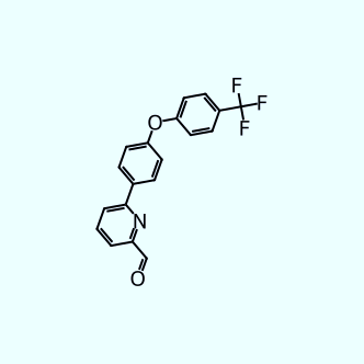 O=Cc1cccc(-c2ccc(Oc3ccc(C(F)(F)F)cc3)cc2)n1